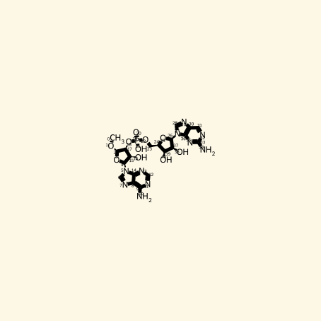 CO[C@H]1O[C@@H](n2cnc3c(N)ncnc32)[C@@H](O)[C@H]1OP(=O)(O)OC[C@H]1O[C@@H](n2cnc3cnc(N)nc32)[C@@H](O)[C@H]1O